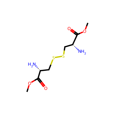 COC(=O)[C@H](N)CSSC[C@@H](N)C(=O)OC